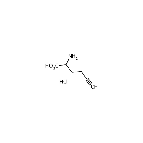 C#CCCC(N)C(=O)O.Cl